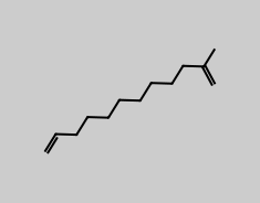 C=CCCCCCCCCC(=C)C